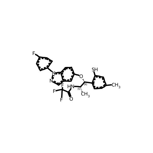 Cc1ccc([C@@H](Oc2ccc3c(cnn3-c3ccc(F)cc3)c2)[C@H](C)NC(=O)C(F)(F)F)c(S)c1